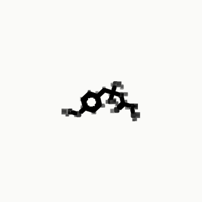 COc1ccc(CC(C)(C)OC(=O)NO)cc1